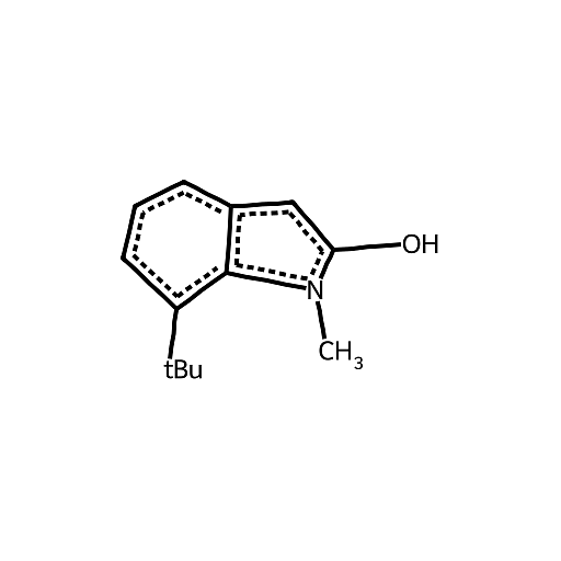 Cn1c(O)cc2cccc(C(C)(C)C)c21